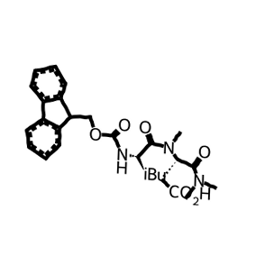 CC[C@H](C)[C@H](NC(=O)OCC1c2ccccc2-c2ccccc21)C(=O)N(C)[C@@H](CC(=O)O)C(=O)N(C)C